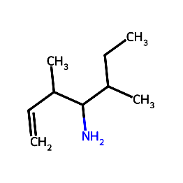 C=CC(C)C(N)C(C)CC